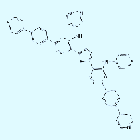 c1cncc(Nc2cc(-c3ccc(-c4ccncc4)cc3)ccc2-c2ccc(-c3ccc(-c4ccc(-c5ccncc5)cc4)cc3Nc3cccnc3)s2)c1